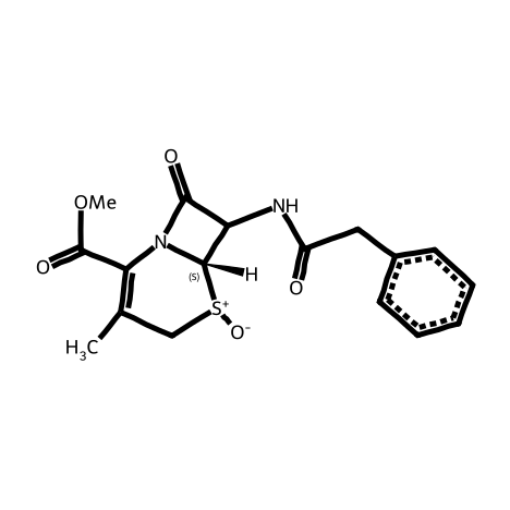 COC(=O)C1=C(C)C[S+]([O-])[C@H]2C(NC(=O)Cc3ccccc3)C(=O)N12